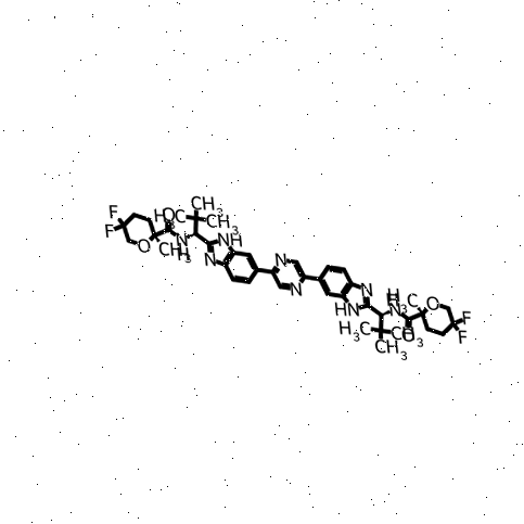 CC(C)(C)[C@H](NC(=O)[C@@]1(C)CCC(F)(F)CO1)c1nc2ccc(-c3cnc(-c4ccc5nc([C@@H](NC(=O)[C@@]6(C)CCC(F)(F)CO6)C(C)(C)C)[nH]c5c4)cn3)cc2[nH]1